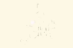 CN1C(=O)/C(=C\c2cccc(F)c2)C(=O)c2cc(C(=O)O)ccc21.NC(=O)c1ccncc1